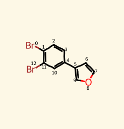 Brc1ccc(-c2c[c]oc2)cc1Br